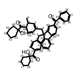 CC1C=C(CC2(Cc3ccc(C(=O)C4(O)CCCCC4)cc3)c3ccccc3-c3ccc(C(=O)c4ccccc4)cc32)C=CC1C(=O)C1(O)CCCCC1